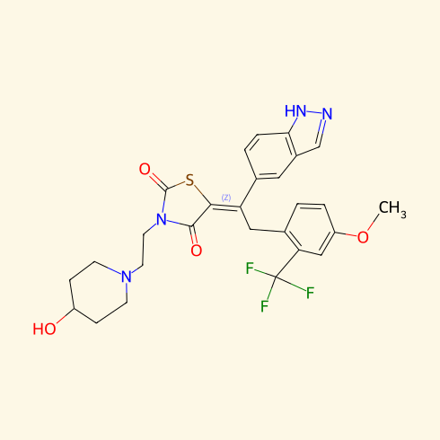 COc1ccc(C/C(=C2/SC(=O)N(CCN3CCC(O)CC3)C2=O)c2ccc3[nH]ncc3c2)c(C(F)(F)F)c1